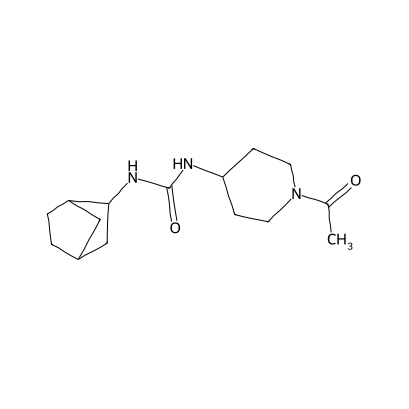 CC(=O)N1CCC(NC(=O)NC2CC3CCC2C3)CC1